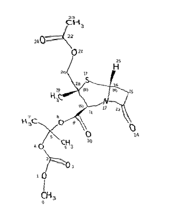 COC(=O)OC(C)(C)OC(=O)[C@@H]1N2C(=O)C[C@H]2S[C@@]1(C)COC(C)=O